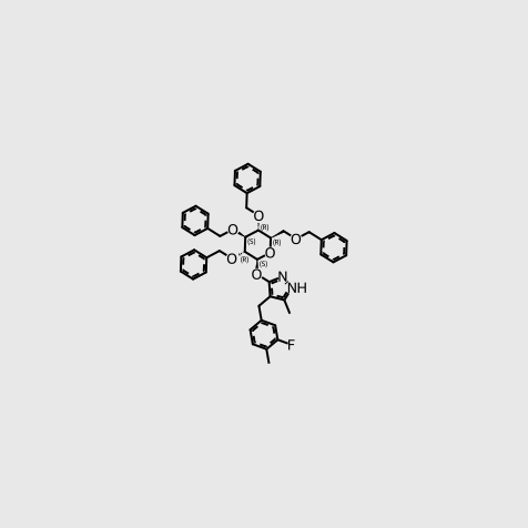 Cc1ccc(Cc2c(O[C@@H]3O[C@H](COCc4ccccc4)[C@@H](OCc4ccccc4)[C@H](OCc4ccccc4)[C@H]3OCc3ccccc3)n[nH]c2C)cc1F